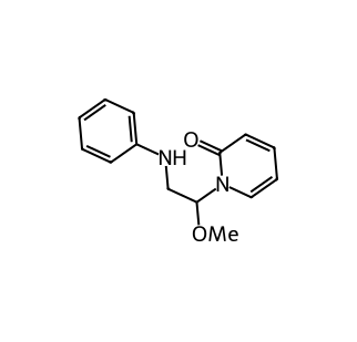 COC(CNc1ccccc1)n1ccccc1=O